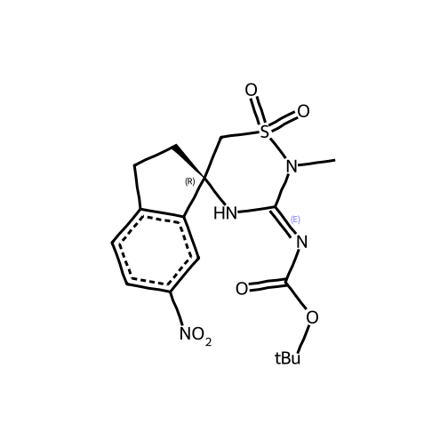 CN1/C(=N/C(=O)OC(C)(C)C)N[C@@]2(CCc3ccc([N+](=O)[O-])cc32)CS1(=O)=O